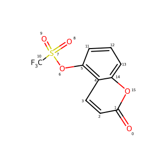 O=c1ccc2c(OS(=O)(=O)C(F)(F)F)cccc2o1